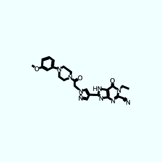 CCn1c(C#N)nc2nc(-c3cnn(CC(=O)N4CCN(c5cccc(OC)c5)CC4)c3)[nH]c2c1=O